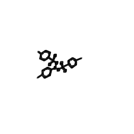 Cc1ccc(B(OS(=O)(=O)c2ccc(C)cc2)OS(=O)(=O)c2ccc(C)cc2)cc1